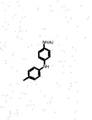 CC(=O)Nc1ccc(Nc2ccc(C)cc2)cc1